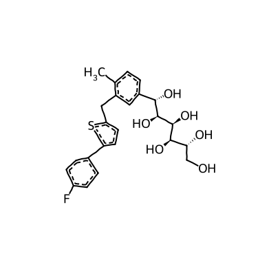 Cc1ccc([C@H](O)[C@H](O)[C@@H](O)[C@H](O)[C@H](O)CO)cc1Cc1ccc(-c2ccc(F)cc2)s1